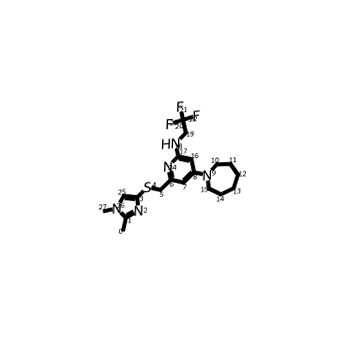 Cc1nc(SCc2cc(N3CCCCCC3)cc(NCC(F)(F)F)n2)cn1C